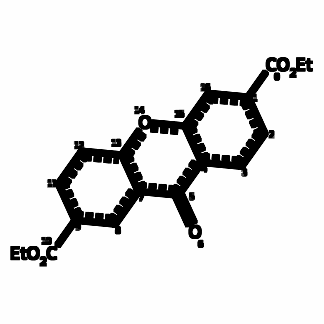 CCOC(=O)c1ccc2c(=O)c3cc(C(=O)OCC)ccc3oc2c1